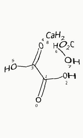 O=C(O)C(=O)O.O=C(O)O.[CaH2]